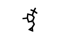 CC1CC(C(C)(C)C)CN(CC2CC2)C1